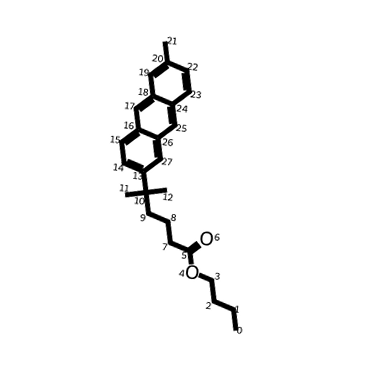 CCCCOC(=O)CCCC(C)(C)c1ccc2cc3cc(C)ccc3cc2c1